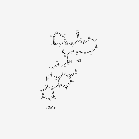 COc1ncc(Br)c(-n2ccc(=O)c3c(N[C@@H](C)c4c(Cl)c5ccccc5c(=O)n4-c4ccccc4)ncnc32)n1